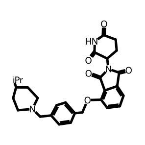 CC(C)C1CCN(Cc2ccc(COc3cccc4c3C(=O)N(C3CCC(=O)NC3=O)C4=O)cc2)CC1